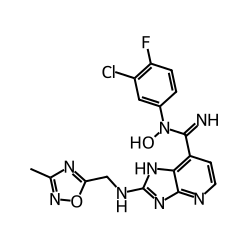 Cc1noc(CNc2nc3nccc(C(=N)N(O)c4ccc(F)c(Cl)c4)c3[nH]2)n1